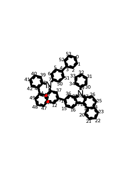 c1ccc(-c2ccc(N(c3cccc(-c4ccc5c6c7ccccc7ccc6n(-c6ccccc6)c5c4)c3)c3ccccc3-c3ccccc3)cc2)cc1